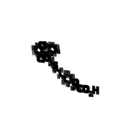 CC(Oc1ccc(CCCSCCOC(c2ccccc2Cl)c2ccccc2Cl)cc1)C(=O)O